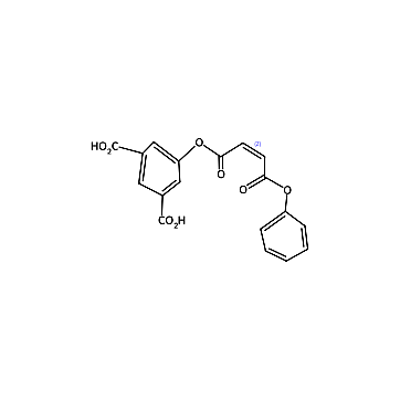 O=C(/C=C\C(=O)Oc1cc(C(=O)O)cc(C(=O)O)c1)Oc1ccccc1